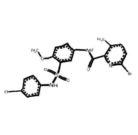 COc1ccc(NC(=O)c2nc(Br)ccc2C)cc1S(=O)(=O)Nc1ccc(Cl)cc1